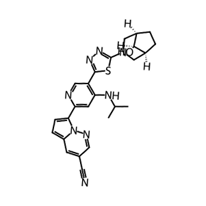 CC(C)Nc1cc(-c2ccc3cc(C#N)cnn23)ncc1-c1nnc(N2C[C@H]3CC[C@@H](C2)[C@H]3O)s1